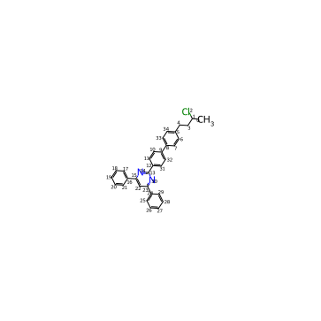 CC(Cl)CCc1ccc(-c2ccc(-c3nc(-c4ccccc4)cc(-c4ccccc4)n3)cc2)cc1